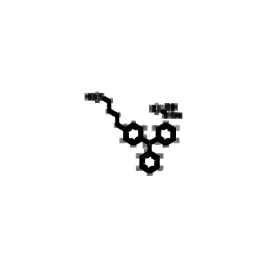 Br.CCCCCCC.O=C(O)CCCCc1ccc(P(c2ccccc2)c2ccccc2)cc1